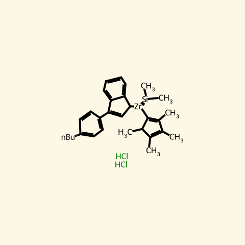 CCCCc1ccc(C2=C[CH]([Zr]([C]3=C(C)C(C)=C(C)C3C)=[Si](C)C)c3ccccc32)cc1.Cl.Cl